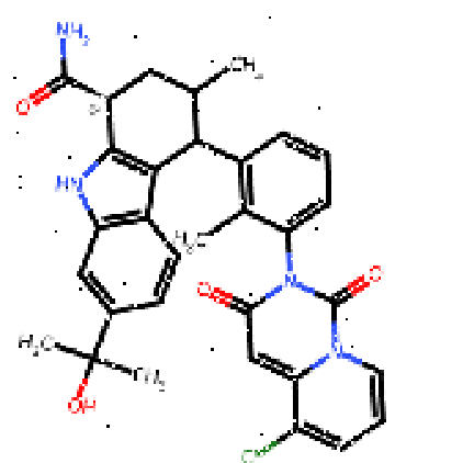 Cc1c(C2c3c([nH]c4cc(C(C)(C)O)ccc34)[C@@H](C(N)=O)CC2C)cccc1-n1c(=O)cc2c(Cl)cccn2c1=O